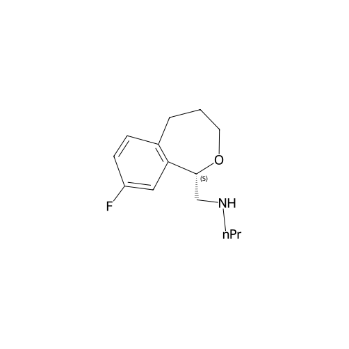 CCCNC[C@H]1OCCCc2ccc(F)cc21